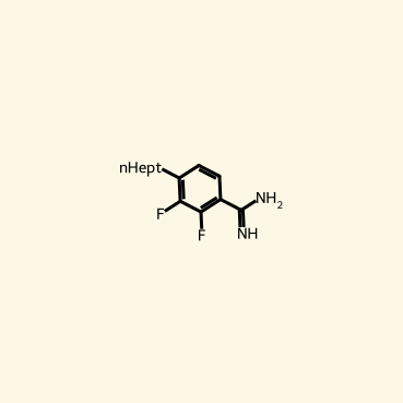 CCCCCCCc1ccc(C(=N)N)c(F)c1F